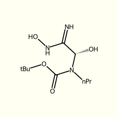 CCCN(C(=O)OC(C)(C)C)[C@@H](O)C(=N)NO